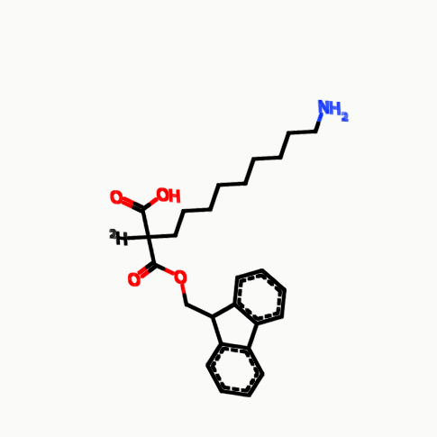 [2H]C(CCCCCCCCCN)(C(=O)O)C(=O)OCC1c2ccccc2-c2ccccc21